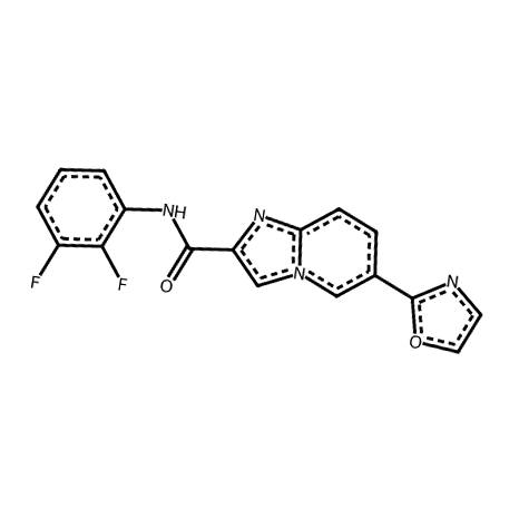 O=C(Nc1cccc(F)c1F)c1cn2cc(-c3ncco3)ccc2n1